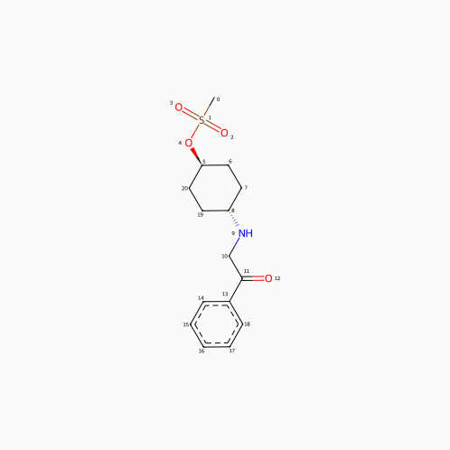 CS(=O)(=O)O[C@H]1CC[C@H](NCC(=O)c2ccccc2)CC1